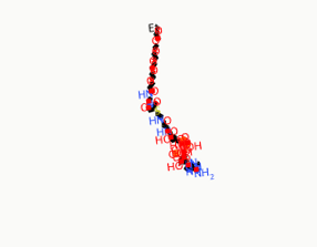 CCOCCOCCOCCOCCOCCOCCC(=O)NCCN1C(=O)CC(SCCNC(=O)CCNC(=O)[C@H](O)C(C)(C)COP(=O)(O)OP(=O)(O)OC[C@H]2O[C@@H](n3cnc4c(N)ncnc43)[C@@H](O)C2OP(=O)(O)O)C1=O